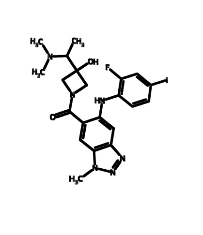 CC(N(C)C)C1(O)CN(C(=O)c2cc3c(cc2Nc2ccc(I)cc2F)nnn3C)C1